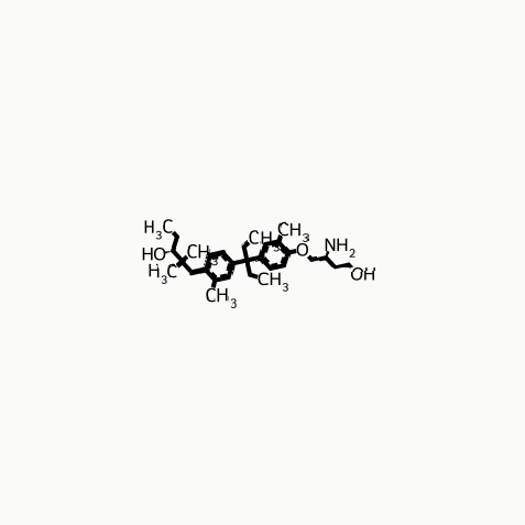 CC[C@@H](O)C(C)(C)Cc1ccc(C(CC)(CC)c2ccc(OC[C@@H](N)CCO)c(C)c2)cc1C